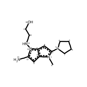 Cn1c(N2CCCC2)cc2c1cc(N)n2NCCO